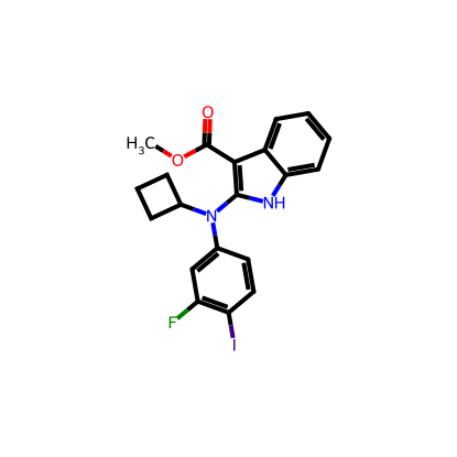 COC(=O)c1c(N(c2ccc(I)c(F)c2)C2CCC2)[nH]c2ccccc12